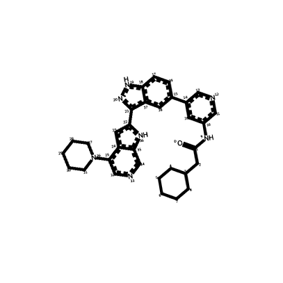 O=C(CC1CCCCC1)Nc1cncc(-c2ccc3[nH]nc(-c4cc5c(N6CCCCC6)cncc5[nH]4)c3c2)c1